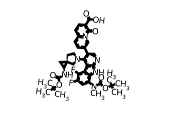 CN(C(=O)OC(C)(C)C)c1cc(F)c(F)c2c1[nH]c1ncc(-c3ccc4ccc(C(=O)O)c(=O)n4c3)c(N3CC[C@@]4(C[C@@H]4NC(=O)OC(C)(C)C)C3)c12